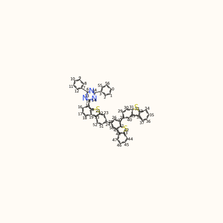 c1ccc(-c2nc(-c3ccccc3)nc(-c3cccc4c3sc3cc(-c5cc(-c6ccc7sc8ccccc8c7c6)c6sc7ccccc7c6c5)ccc34)n2)cc1